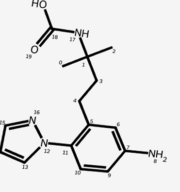 CC(C)(CCc1cc(N)ccc1-n1cccn1)NC(=O)O